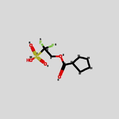 O=C(OCC(F)(F)S(=O)(=O)O)C1CCCC1